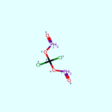 O=[PH2]OC(Cl)(Cl)O[PH2]=O